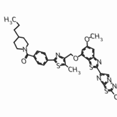 CCCC1CCN(C(=O)c2ccc(-c3nc(COc4cc(OC)cc5nc(-c6cn7nc(C)sc7n6)sc45)c(C)s3)cc2)CC1